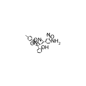 Cc1ccc(S(=O)(=O)n2cc(-c3ccccc3O)c3cc(-c4ccc(N)c(C(=O)N(C)C)c4)cnc32)cc1